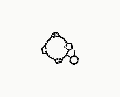 Fc1ccccc1-c1c2nc(cc3ccc(cc4nc(cc5ccc1[nH]5)C=C4)[nH]3)C=C2